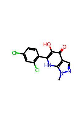 Cn1ncc2c(=O)c(O)c(-c3ccc(Cl)cc3Cl)[nH]c21